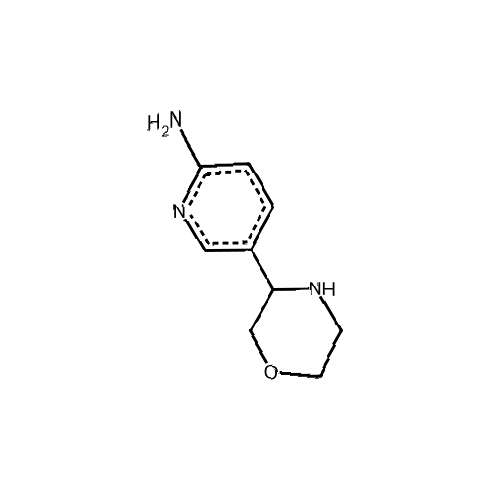 Nc1ccc(C2COCCN2)cn1